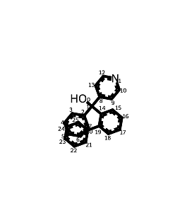 OC(c1ccccc1)(c1ccncc1)c1ccccc1-c1ccccc1